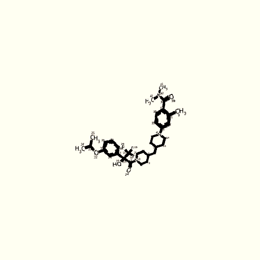 Cc1cc(N2CCC(CC3CCN(C(=O)C(O)(c4cccc(OC(C)C)c4)C(F)(F)F)CC3)CC2)ccc1C(=O)N(C)C